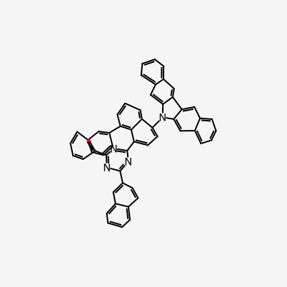 c1ccc(-c2nc(-c3ccc4ccccc4c3)nc(-c3ccc(-n4c5cc6ccccc6cc5c5cc6ccccc6cc54)c4cccc(-c5ccccc5)c34)n2)cc1